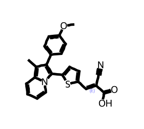 COc1ccc(-c2c(C)c3ccccn3c2-c2ccc(/C=C(\C#N)C(=O)O)s2)cc1